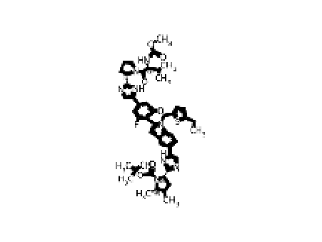 CCc1ccc(C2Oc3cc(-c4cnc([C@@H]5CCCN5C(=O)[C@@H](NC(=O)OC)C(C)C)[nH]4)cc(F)c3-c3cc4cc(-c5cnc([C@@H]6CC(C)[C@@H](C)N6C(=O)OC(C)(C)C)[nH]5)ccc4n32)s1